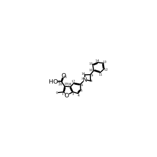 Cc1oc2ccc(N3CC(c4ccccc4)C3)cc2c1C(=O)O